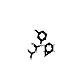 Cc1cccc(NC(=O)NC(C)C)c1.c1ccc2c(c1)C2